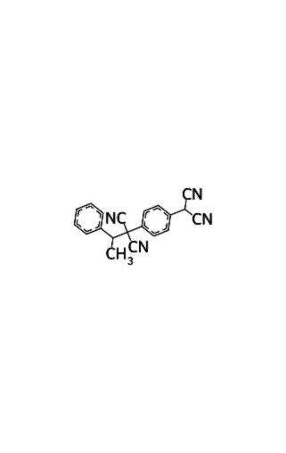 CC(c1ccccc1)C(C#N)(C#N)c1ccc(C(C#N)C#N)cc1